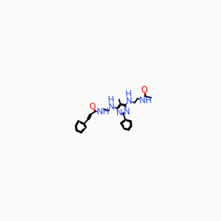 CC(=O)NCCNc1nc(-c2ccccc2)nc(NCCNC(=O)C#Cc2ccccc2)c1C